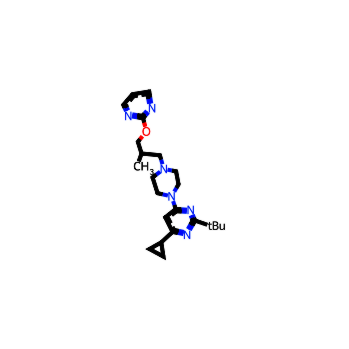 CC(COc1ncccn1)CN1CCN(c2cc(C3CC3)nc(C(C)(C)C)n2)CC1